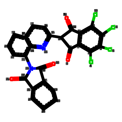 O=C1c2c(Cl)c(Cl)c(Cl)c(Cl)c2C(=O)C1c1ccc2cccc(N3C(=O)c4ccccc4C3=O)c2n1